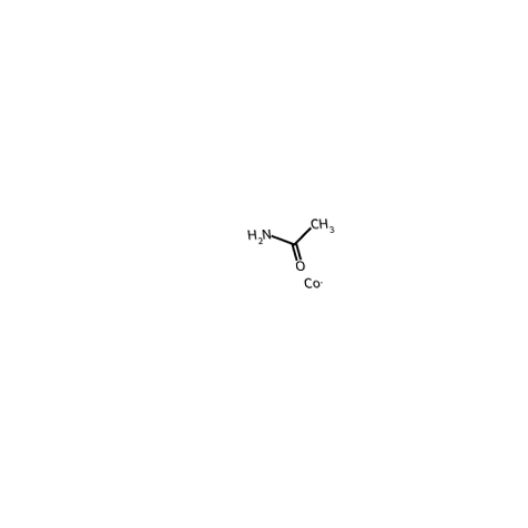 CC(N)=O.[Co]